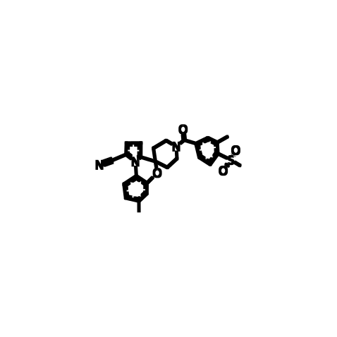 Cc1ccc2c(c1)OC1(CCN(C(=O)c3ccc(S(C)(=O)=O)c(C)c3)CC1)c1ccc(C#N)n1-2